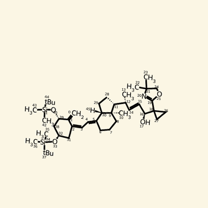 C=C1/C(=C\C=C2/CCC[C@]3(C)[C@@H]([C@H](C)/C=C/[C@H](O)C4(C5=NC(C)(C)CO5)CC4)CC[C@@H]23)C[C@@H](O[Si](C)(C)C(C)(C)C)C[C@@H]1O[Si](C)(C)C(C)(C)C